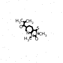 C=C(C)C(=O)C1C=Nc2c(c(=S)n(C)c(=O)n2C)CC1